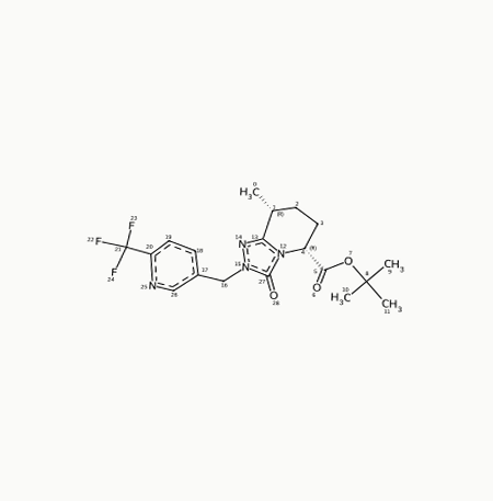 C[C@@H]1CC[C@H](C(=O)OC(C)(C)C)n2c1nn(Cc1ccc(C(F)(F)F)nc1)c2=O